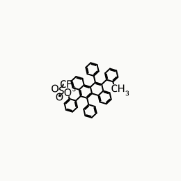 Cc1ccccc1-c1c(-c2ccccc2)c2c3ccccc3c(-c3ccccc3OS(=O)(=O)C(F)(F)F)c(-c3ccccc3)c2c2ccccc12